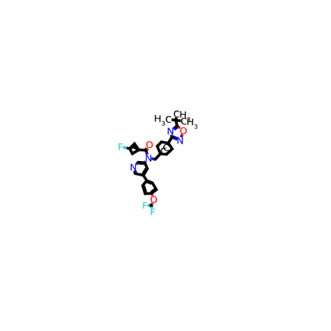 CC(C)(C)c1nc(C23CCC(CN(C(=O)C45CC(F)(C4)C5)c4cncc(-c5ccc(OC(F)F)cc5)c4)(CC2)CC3)no1